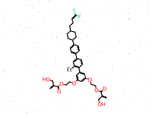 C=C(CO)C(=O)OCCOc1cc(OCCOC(=O)C(=C)CO)cc(-c2ccc(-c3ccc(C4CCC(CCC=C(F)F)CC4)cc3)cc2CC)c1